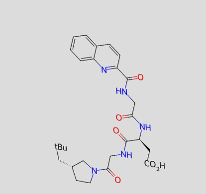 CC(C)(C)C[C@H]1CCN(C(=O)CNC(=O)[C@H](CC(=O)O)NC(=O)CNC(=O)c2ccc3ccccc3n2)C1